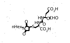 CCCCCCN1C(=O)CC(SC[C@H](NC(=O)N[C@@H](CCC(=O)O)OC=O)C(=O)O)C1=O